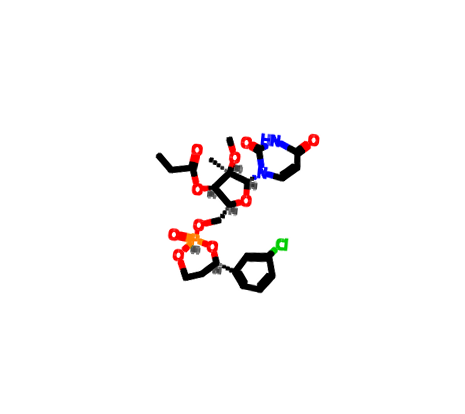 CCC(=O)O[C@@H]1[C@@H](CO[P@@]2(=O)OCC[C@@H](c3cccc(Cl)c3)O2)O[C@@H](n2ccc(=O)[nH]c2=O)[C@]1(C)OC